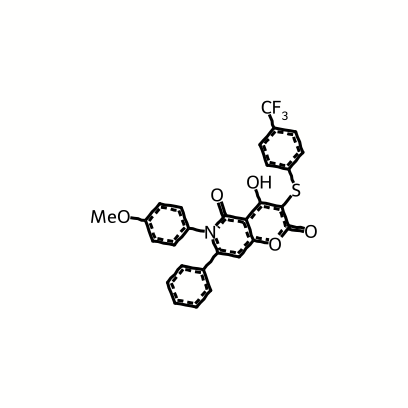 COc1ccc(-n2c(-c3ccccc3)cc3oc(=O)c(Sc4ccc(C(F)(F)F)cc4)c(O)c3c2=O)cc1